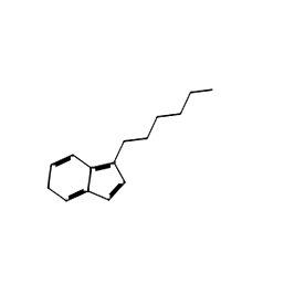 CCCCCCC1=C2C=CCC=C2C=C1